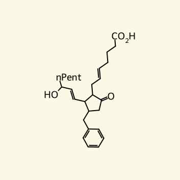 CCCCCC(O)C=CC1C(Cc2ccccc2)CC(=O)C1CC=CCCCC(=O)O